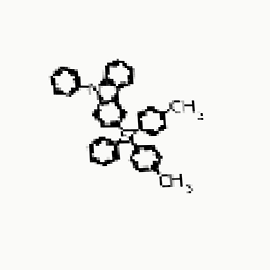 Cc1ccc([Si](c2ccccc2)(c2ccc(C)cc2)c2ccc3c(c2)c2ccccc2n3-c2ccccc2)cc1